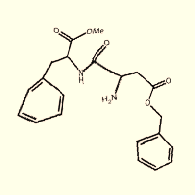 COC(=O)C(Cc1ccccc1)NC(=O)C(N)CC(=O)OCc1ccccc1